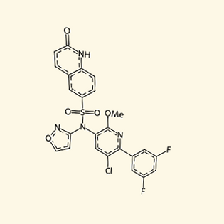 COc1nc(-c2cc(F)cc(F)c2)c(Cl)cc1N(c1ccon1)S(=O)(=O)c1ccc2[nH]c(=O)ccc2c1